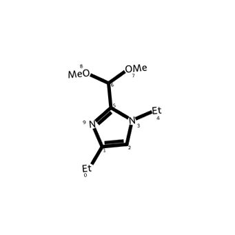 CCc1cn(CC)c(C(OC)OC)n1